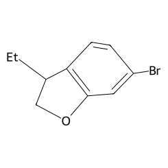 CCC1COc2cc(Br)ccc21